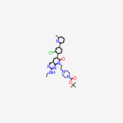 CCNc1ncc2cc(-c3ccc(-c4cccc(C)n4)cc3Cl)c(=O)n(CCN3CCN(C(=O)OC(C)(C)C)CC3)c2n1